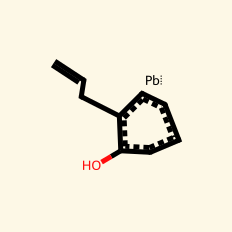 C=CCc1ccccc1O.[Pb]